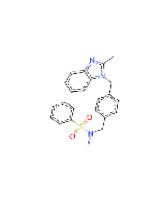 Cc1nc2ccccc2n1Cc1ccc(CN(C)S(=O)(=O)c2ccccc2)cc1